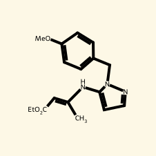 CCOC(=O)/C=C(\C)Nc1ccnn1Cc1ccc(OC)cc1